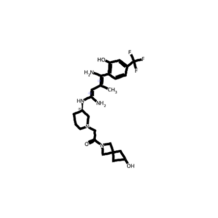 CC(/C=C(\N)N[C@@H]1CCCN(CC(=O)N2CC3(CC(O)C3)C2)C1)=C(/N)c1ccc(C(F)(F)F)cc1O